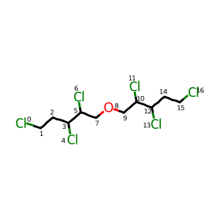 ClCCC(Cl)C(Cl)COCC(Cl)C(Cl)CCCl